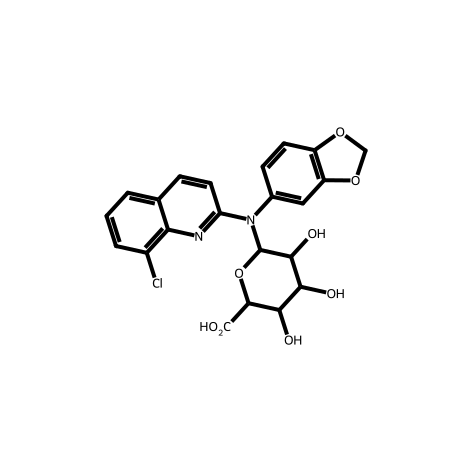 O=C(O)C1OC(N(c2ccc3c(c2)OCO3)c2ccc3cccc(Cl)c3n2)C(O)C(O)C1O